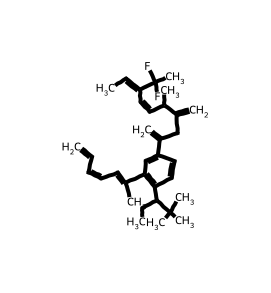 C=C/C=C\C=C(/C)c1cc(C(=C)CC(=C)C(C)/C=C\C(=C/C)C(C)(F)F)ccc1C(CC)C(C)(C)C